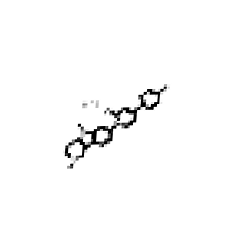 CN1CCc2c(c3ccc(-n4ccc(-c5ccc(F)cc5)cc4=O)cc3n2C)C1.Cl